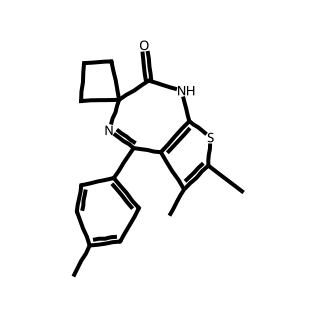 Cc1ccc(C2=NC3(CCC3)C(=O)Nc3sc(C)c(C)c32)cc1